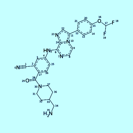 N#Cc1cc(Nc2nccn3c(-c4ccc(OC(F)F)cc4)cnc23)ccc1C(=O)N1CCC(CN)CC1